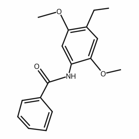 CCc1cc(OC)c(NC(=O)c2ccccc2)cc1OC